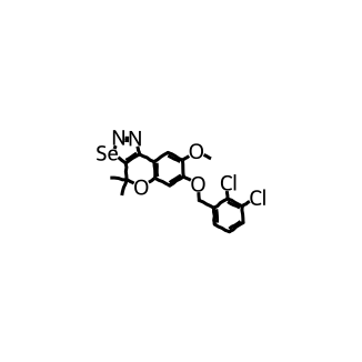 COc1cc2c(cc1OCc1cccc(Cl)c1Cl)OC(C)(C)c1[se]nnc1-2